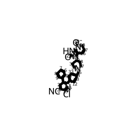 N#Cc1cc(-c2ccccc2)c(-c2ccc(CN3CCC(n4c(=O)[nH]c5c4ccc[n+]5[O-])CC3)cc2)nc1Cl